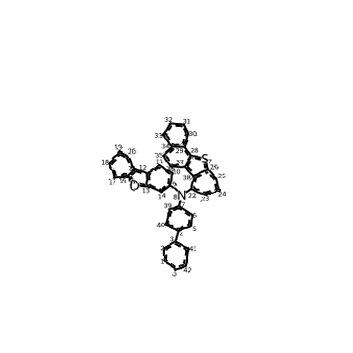 c1ccc(-c2ccc(N(c3ccc4c(c3)oc3ccccc34)c3cccc4sc5c6ccccc6ccc5c34)cc2)cc1